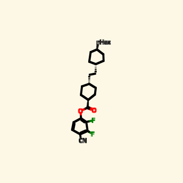 CCCCCC[C@H]1CC[C@H](CC[C@H]2CC[C@H](C(=O)Oc3ccc(C#N)c(F)c3F)CC2)CC1